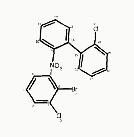 Clc1ccccc1Br.O=[N+]([O-])c1ccccc1-c1ccccc1Cl